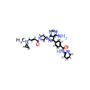 CN(CC=CC(=O)N1CCC(n2nc(-c3ccc(C(=O)Nc4ccccn4)cc3)c3c(N)ncnc32)C1)C1CC1